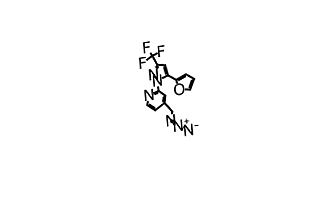 [N-]=[N+]=NCc1ccnc(-n2nc(C(F)(F)F)cc2-c2ccco2)c1